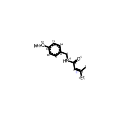 CC/C(C)=C/C(=O)NCc1ccc(OC)cc1